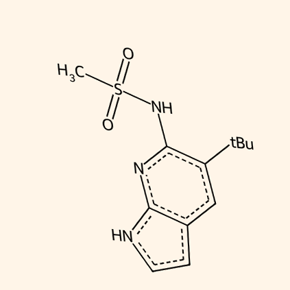 CC(C)(C)c1cc2cc[nH]c2nc1NS(C)(=O)=O